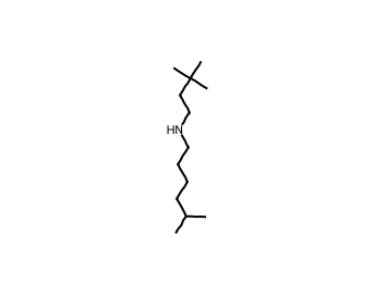 CC(C)CCCCNCCC(C)(C)C